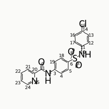 O=C(Nc1ccc(S(=O)(=O)Nc2ccc(Cl)cc2)cc1)c1ccccn1